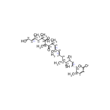 CCC(/C=C/[C@@H]1OC(=O)C=C[C@@H]1C)C(S)[C@H](C)C/C=C/C(C)=C/[C@@H](C)C(=O)[C@@H](C)[C@H](O)[C@@H](C)C/C(C)=C/CO